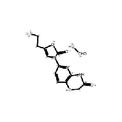 NCCc1cn(-c2ccc3c(n2)NC(=O)CO3)c(=O)o1.O=CO